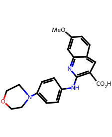 COc1ccc2cc(C(=O)O)c(Nc3ccc(N4CCOCC4)cc3)nc2c1